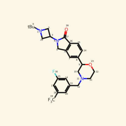 CC(C)(C)N1CC(N2Cc3cc(C4CN(Cc5cc(F)cc(C(F)(F)F)c5)CCO4)ccc3C2=O)C1